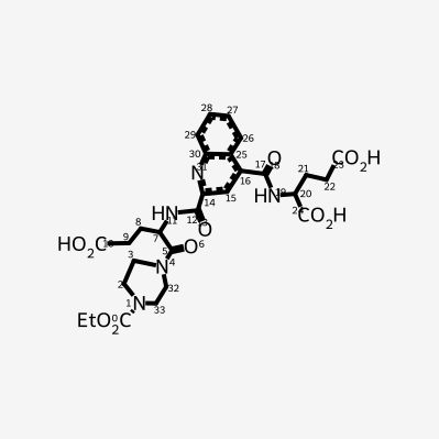 CCOC(=O)N1CCN(C(=O)C(CCC(=O)O)NC(=O)c2cc(C(=O)NC(CCC(=O)O)C(=O)O)c3ccccc3n2)CC1